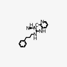 Cc1ncccc1NC(=NC#N)NCCCc1ccccc1